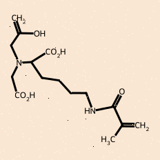 C=C(O)CN(CC(=O)O)C(CCCCNC(=O)C(=C)C)C(=O)O